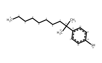 CCCCCCCCC(C)(C)c1ccc(S)cc1